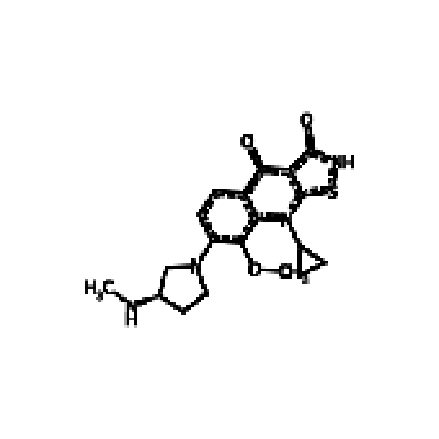 CN[C@@H]1CCN(c2ccc3c(=O)c4c(=O)[nH]sc4n(C4CC4)c3c2OC)C1